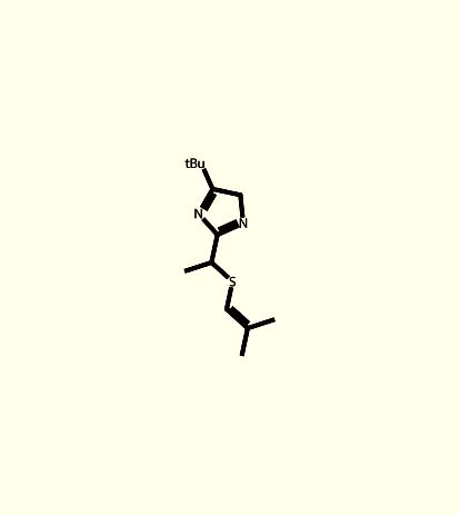 CC(C)=CSC(C)C1=NCC(C(C)(C)C)=N1